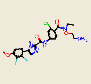 CCN(OCCN)C(=O)c1ccc(NC(=O)c2ncc(-c3ccc(OC)c(F)c3F)n2C)cc1Cl